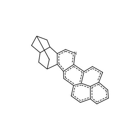 c1cc2ccc3cc4c5c(cnc4c4ccc(c1)c2c34)C1CC2CC5CC1C2